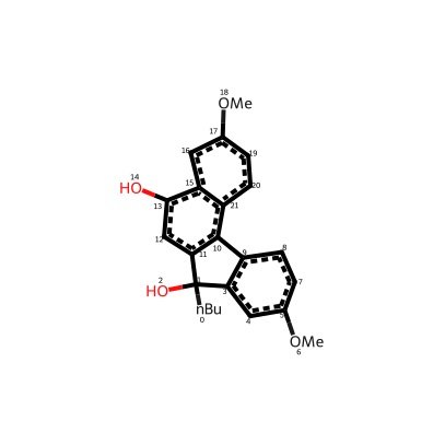 CCCCC1(O)c2cc(OC)ccc2-c2c1cc(O)c1cc(OC)ccc21